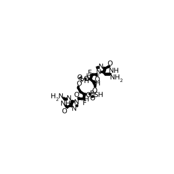 Nc1cc2c(ncn2[C@@H]2O[C@@H]3CO[P@](=O)(S)O[C@@H]4C(CO[PH](=O)O[C@H]3[C@H]2F)O[C@@H](n2cnc3c(=O)[nH]c(N)nc32)[C@@H]4F)c(=O)[nH]1